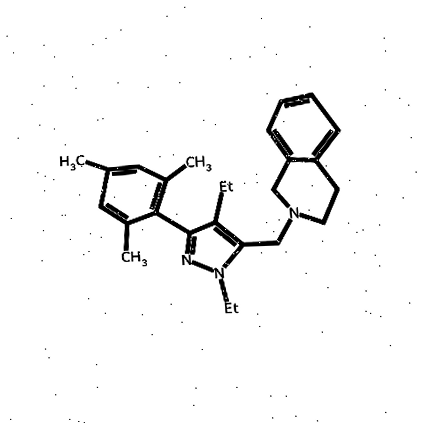 CCc1c(-c2c(C)cc(C)cc2C)nn(CC)c1CN1CCc2ccccc2C1